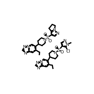 CCc1cc2ncnn2cc1C1CCN(S(=O)(=O)c2cnn(C)c2Cl)CC1.CCc1cc2ncnn2cc1C1CCN(S(=O)(=O)c2cnn3c2CCC3)CC1